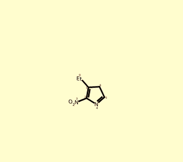 CCC1=C([N+](=O)[O-])N=CC1